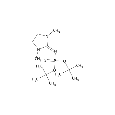 CN1CCN(C)C1=NP(=S)(OC(C)(C)C)OC(C)(C)C